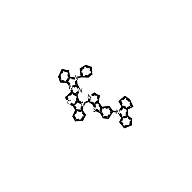 c1ccc(-n2c3ccccc3n3c4ccc5c6ccccc6n(-c6nccc7c6sc6ccc(-n8c9ccccc9c9ccccc98)cc67)c5c4nc23)cc1